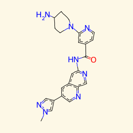 Cn1cc(-c2cnc3cnc(NC(=O)c4ccnc(N5CCC(N)CC5)c4)cc3c2)cn1